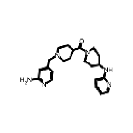 Nc1cc(CN2CCC(C(=O)N3CCC(Nc4ccccn4)CC3)CC2)ccn1